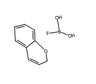 C1=Cc2ccccc2OC1.OB(O)F